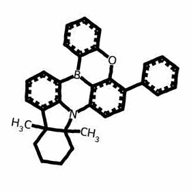 CC12CCCCC1(C)N1c3ccc(-c4ccccc4)c4c3B(c3ccccc3O4)c3cccc2c31